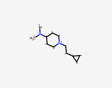 CC(=O)N(C)C1CCN(CCC2CC2)CC1